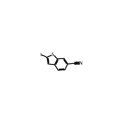 N#Cc1ccc2cc(I)sc2c1